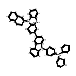 c1ccc(N(c2ccccc2)c2ccc(-n3c4ccccc4c4cc(-c5ccc6c(c5)Sc5ccccc5N6c5ccc6ccccc6c5)ccc43)cc2)cc1